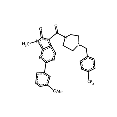 COc1cccc(-c2ncc3c(n2)n(C)c(=O)n3C(=O)N2CCN(Cc3ccc(C(F)(F)F)cc3)CC2)c1